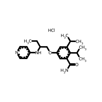 CCC(COc1cc(C(N)=O)c(C(C)C)c(C(C)C)c1)Nc1ccncc1.Cl